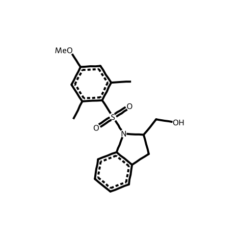 COc1cc(C)c(S(=O)(=O)N2c3ccccc3CC2CO)c(C)c1